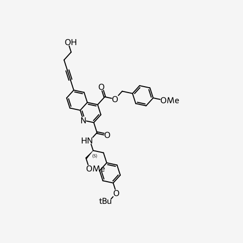 COC[C@H](Cc1ccc(OC(C)(C)C)cc1)NC(=O)c1cc(C(=O)OCc2ccc(OC)cc2)c2cc(C#CCCO)ccc2n1